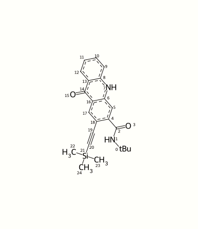 CC(C)(C)NC(=O)c1cc2[nH]c3ccccc3c(=O)c2cc1C#C[Si](C)(C)C